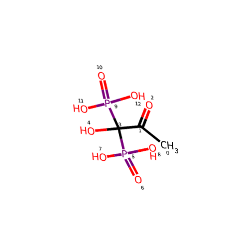 CC(=O)C(O)(P(=O)(O)O)P(=O)(O)O